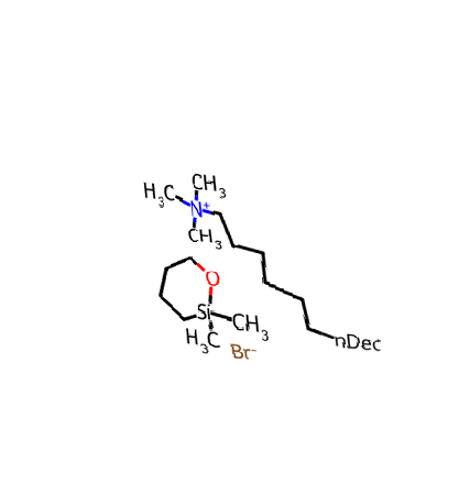 CCCCCCCCCCCCCCCC[N+](C)(C)C.C[Si]1(C)CCCCO1.[Br-]